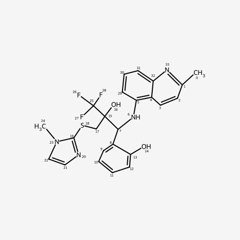 Cc1ccc2c(NC(c3ccccc3O)C(O)(CSc3nccn3C)C(F)(F)F)cccc2n1